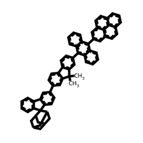 CC1(C)c2cc(-c3ccc4c(c3)-c3ccccc3C43C4CC5CC(C4)CC3C5)ccc2-c2ccc(-c3c4ccccc4c(-c4cc5ccc6cccc7ccc(c4)c5c67)c4ccccc34)cc21